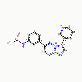 CC(=O)Nc1cccc(-c2ccc3ncc(-c4cccnc4)n3n2)c1